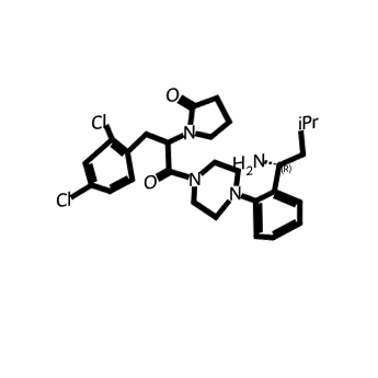 CC(C)C[C@@H](N)c1ccccc1N1CCN(C(=O)C(Cc2ccc(Cl)cc2Cl)N2CCCC2=O)CC1